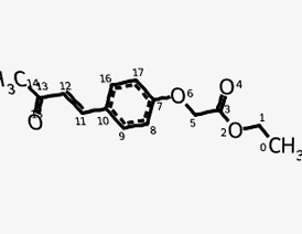 CCOC(=O)COc1ccc(C=CC(C)=O)cc1